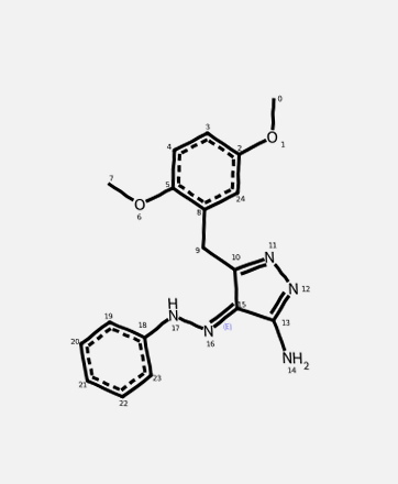 COc1ccc(OC)c(CC2=NN=C(N)/C2=N/Nc2ccccc2)c1